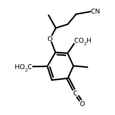 CC(CCC#N)OC1=C(C(=O)O)C(C)C(=C=O)C=C1C(=O)O